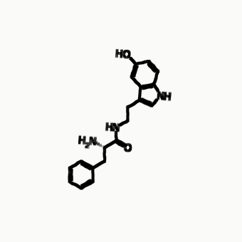 N[C@@H](Cc1ccccc1)C(=O)NCCc1c[nH]c2ccc(O)cc12